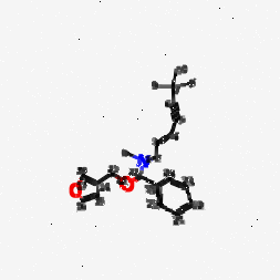 CN(CC=CC#CC(C)(C)C)C(OCc1ccoc1)c1ccccc1